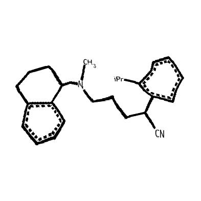 CC(C)c1ccccc1C(C#N)CCCN(C)C1CCCc2ccccc21